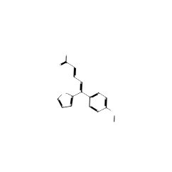 COc1ccc(C(=CC=CC(=O)O)c2cccs2)cc1